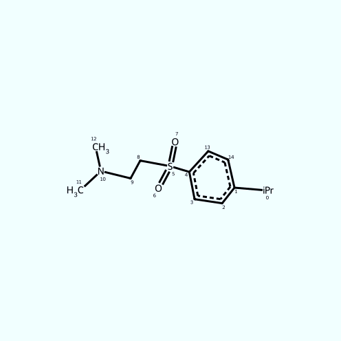 CC(C)c1ccc(S(=O)(=O)CCN(C)C)cc1